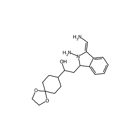 N/C=C1/c2ccccc2C(CC(O)C2CCC3(CC2)OCCO3)N1N